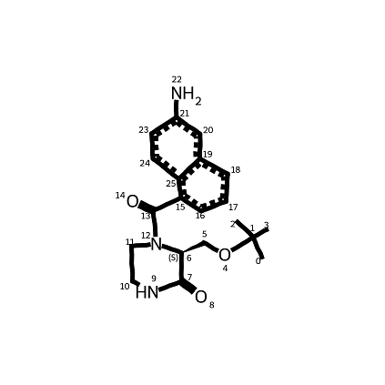 CC(C)(C)OC[C@H]1C(=O)NCCN1C(=O)c1cccc2cc(N)ccc12